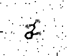 Bc1ccccc1CC(C)N